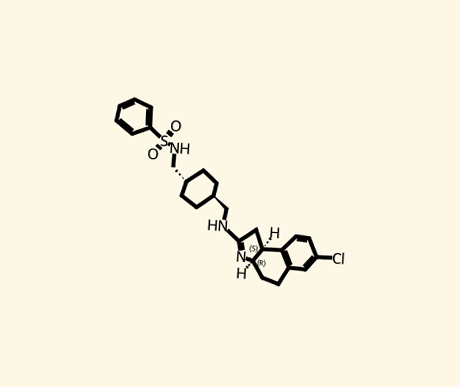 O=S(=O)(NC[C@H]1CC[C@H](CNC2=N[C@@H]3CCc4cc(Cl)ccc4[C@@H]3C2)CC1)c1ccccc1